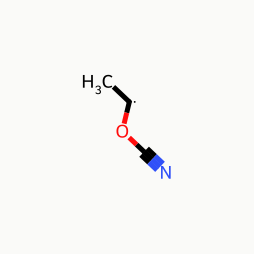 C[CH]OC#N